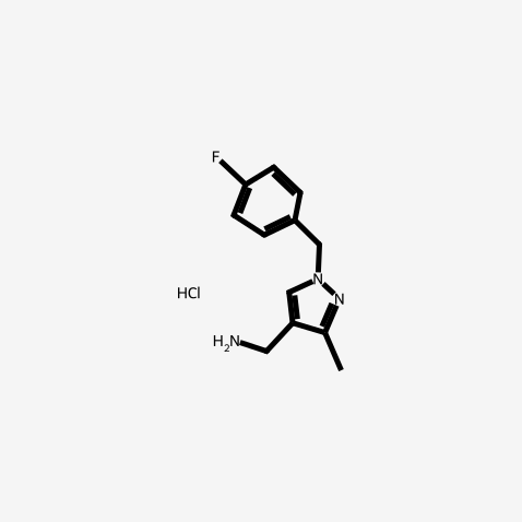 Cc1nn(Cc2ccc(F)cc2)cc1CN.Cl